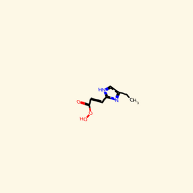 CCc1c[nH]c(C=CC(=O)OO)n1